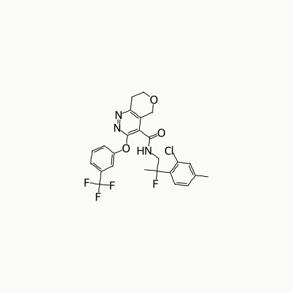 Cc1ccc(C(C)(F)CNC(=O)c2c(Oc3cccc(C(F)(F)F)c3)nnc3c2COCC3)c(Cl)c1